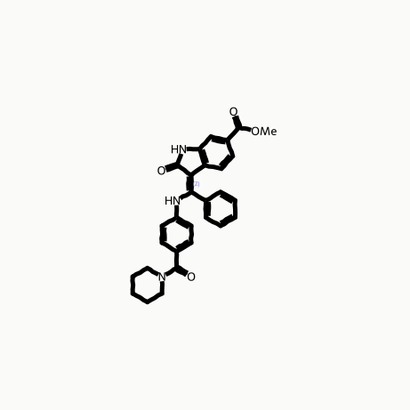 COC(=O)c1ccc2c(c1)NC(=O)/C2=C(\Nc1ccc(C(=O)N2CCCCC2)cc1)c1ccccc1